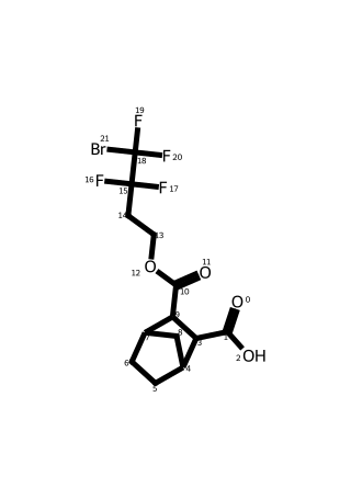 O=C(O)C1C2CCC(C2)C1C(=O)OCCC(F)(F)C(F)(F)Br